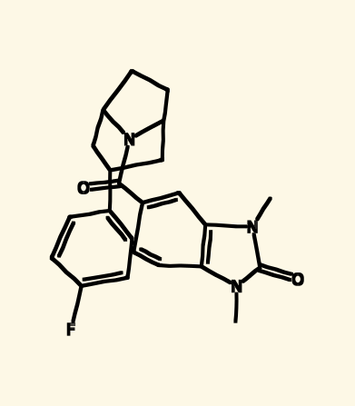 Cn1c(=O)n(C)c2cc(C(=O)N3C4CCC3CC(c3ccc(F)cc3)C4)ccc21